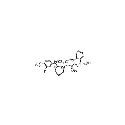 CCC(C)[C@H](OC[C@H](O)CN1CCC[C@H]1Cc1ccc(C)c(F)c1)c1ccccc1/C=C/C(=O)O